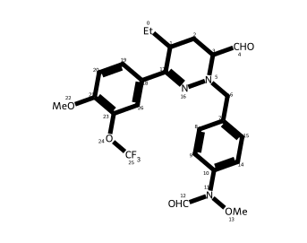 CCC1CC(C=O)N(Cc2ccc(N(C=O)OC)cc2)N=C1c1ccc(OC)c(OC(F)(F)F)c1